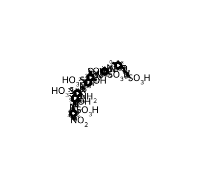 Cc1ccc(OCCCS(=O)(=O)O)cc1N=Nc1ccc(N=Nc2c(S(=O)(=O)O)cc3c(S(=O)(=O)O)c(N=Nc4cc(S(=O)(=O)O)c5ccc(N=Nc6ccc([N+](=O)[O-])cc6S(=O)(=O)O)c(O)c5c4N)ccc3c2O)cc1S(=O)(=O)O